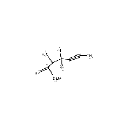 [2H]C([2H])(C#CC)C(C)C(=O)OC